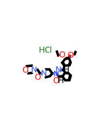 CCOc1ccc(C2=NN(C3CCN(C(=O)CN4CCOCC4)CC3)C(=O)[C@@H]3CC=CC[C@H]23)cc1OCC.Cl